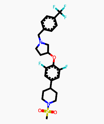 CS(=O)(=O)N1CCC(c2cc(F)c(OC3CCN(Cc4ccc(C(F)(F)F)cc4)C3)c(F)c2)CC1